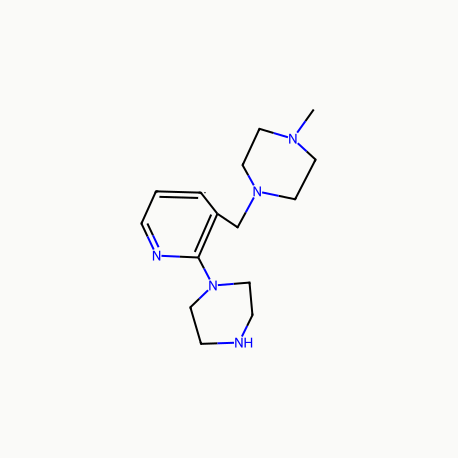 CN1CCN(Cc2[c]ccnc2N2CCNCC2)CC1